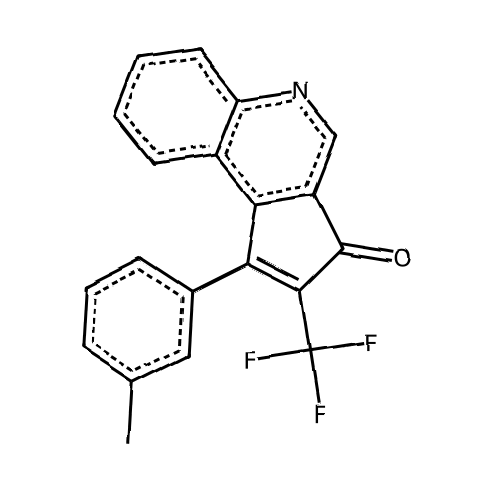 Cc1cccc(C2=C(C(F)(F)F)C(=O)c3cnc4ccccc4c32)c1